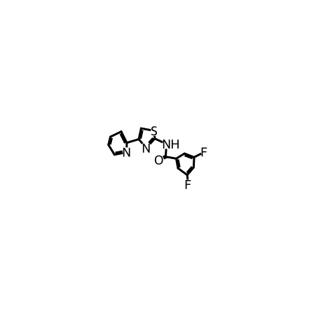 O=C(Nc1nc(-c2ccccn2)cs1)c1cc(F)cc(F)c1